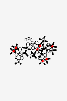 CC[CH][Si](O[Si](C)(C)C(C)[Si](O[Si](C)(C)C)(O[Si](C)(C)C)O[Si](C)(C)C)(O[Si](C)(C)C(C)[Si](O[Si](C)(C)C)(O[Si](C)(C)C)O[Si](C)(C)C)O[Si](C)(C)C(C)[Si](O[Si](C)(C)C)(O[Si](C)(C)C)O[Si](C)(C)C